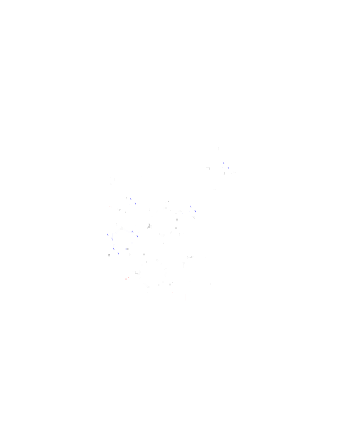 CC(C)NC(=O)c1nnc(-c2cc(C(C)C)c(O)cc2O)n1-c1ccc(NCCCN(C)C)cc1